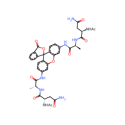 CC(=O)N[C@@H](CC(N)=O)C(=O)N[C@H](C)C(=O)Nc1ccc2c(c1)Oc1cc(NC(=O)[C@H](C)NC(=O)[C@@H](CC(N)=O)NC(C)=O)ccc1C21OC(=O)c2ccccc21